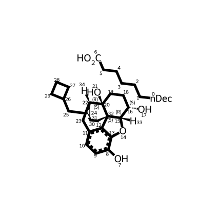 CCCCCCCCCCCCCCCC(=O)O.Oc1ccc2c3c1O[C@H]1[C@@H](O)CC[C@@]4(O)[C@@H](C2)N(CC2CCC2)CC[C@]314